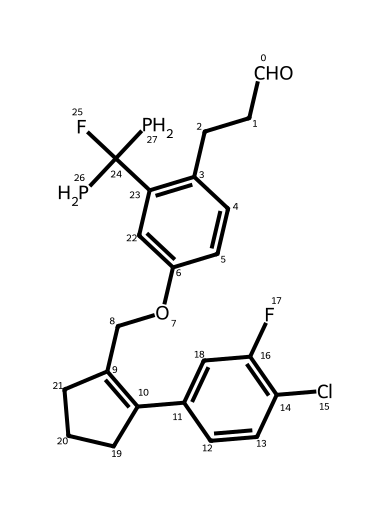 O=CCCc1ccc(OCC2=C(c3ccc(Cl)c(F)c3)CCC2)cc1C(F)(P)P